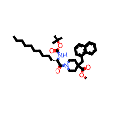 CCCCCCCCCC[C@H](NC(=O)OC(C)(C)C)C(=O)N1CCC(Cc2cccc3ccccc23)(C(=O)OC)CC1